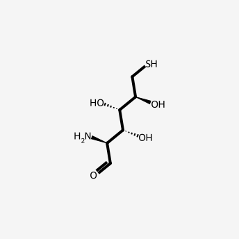 N[C@H](C=O)[C@@H](O)[C@H](O)[C@H](O)CS